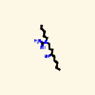 CCCCCC([NH])CCCN(CCCCC)C(=N)N